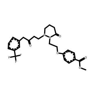 COC(=O)c1ccc(OCCN2C(=O)CCCN2CCC(=O)Cc2cccc(C(F)(F)F)c2)cc1